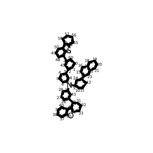 c1cc(-c2cccc(N(c3cccc(-c4ccc5ccccc5c4)c3)c3cccc(-c4cccc5oc6ccccc6c45)c3)c2)cc(-c2cccc3c2sc2ccccc23)c1